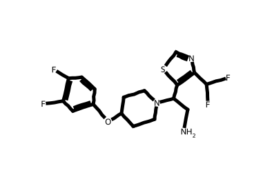 NCC(c1scnc1C(F)F)N1CCC(Oc2ccc(F)c(F)c2)CC1